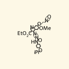 CCOC(=O)c1cnc2cc(OCCCN3CCOCC3)c(OC)cc2c1N1CCN(C(=O)Nc2ccc(OC(C)C)cc2)CC1